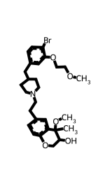 COCCOc1cc(CC2CCN(CCc3ccc4c(c3)C(C)(OC)C(O)CO4)CC2)ccc1Br